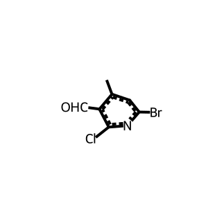 Cc1cc(Br)nc(Cl)c1C=O